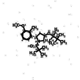 COc1cccc([C@@H]2C[C@@H](O[Si](C)(C)C(C)(C)C)CN2[S@@+]([O-])C(C)(C)C)c1C